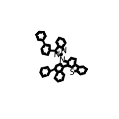 c1ccc(-c2cccc(-c3nc(-n4c5cc(-c6ccccc6)c6ccccc6c5c5c6sc7ccccc7c6ccc54)nc4ccccc34)c2)cc1